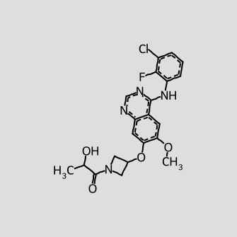 COc1cc2c(Nc3cccc(Cl)c3F)ncnc2cc1OC1CN(C(=O)C(C)O)C1